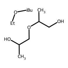 CC(O)COC(C)CO.CCOC(C)CC